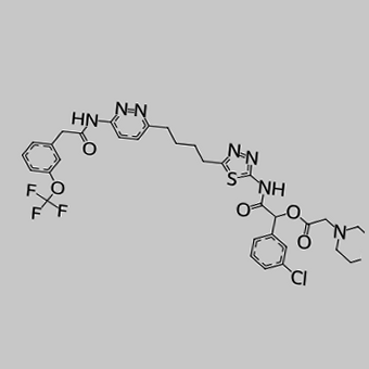 O=C(Cc1cccc(OC(F)(F)F)c1)Nc1ccc(CCCCc2nnc(NC(=O)C(OC(=O)CN3CCOCC3)c3cccc(Cl)c3)s2)nn1